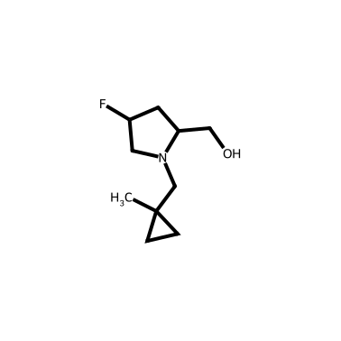 CC1(CN2CC(F)CC2CO)CC1